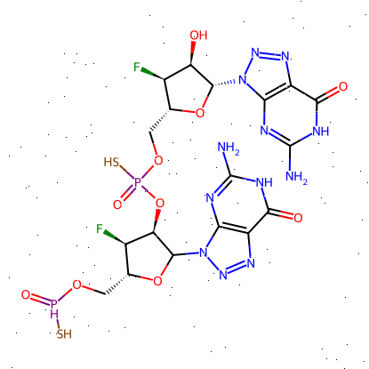 Nc1nc2c(nnn2C2O[C@H](CO[PH](=O)S)[C@@H](F)[C@H]2OP(=O)(S)OC[C@H]2O[C@@H](n3nnc4c(=O)[nH]c(N)nc43)[C@H](O)[C@@H]2F)c(=O)[nH]1